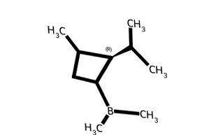 CB(C)C1CC(C)[C@H]1C(C)C